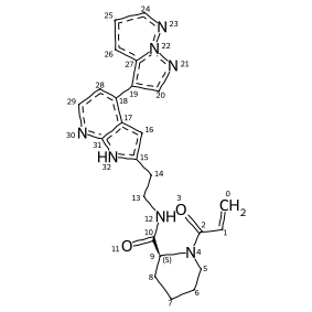 C=CC(=O)N1CCCC[C@H]1C(=O)NCCc1cc2c(-c3cnn4ncccc34)ccnc2[nH]1